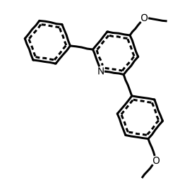 COc1ccc(-c2cc(OC)cc(-c3ccccc3)n2)cc1